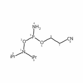 CC(C)N(OP(N)OCCC#N)C(C)C